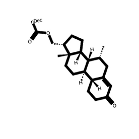 CCCCCCCCCCC(=O)OC[C@@H]1CC[C@@H]2[C@H]3[C@H](CC[C@]12C)[C@H]1CCC(=O)C=C1C[C@H]3C